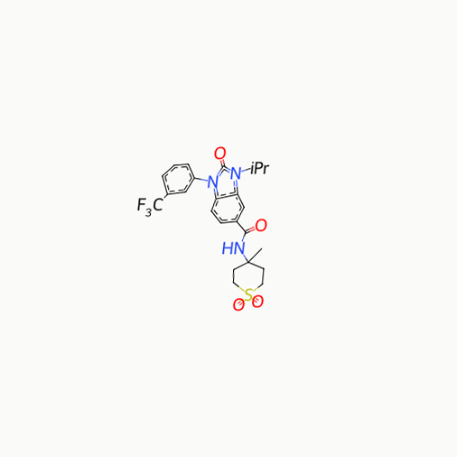 CC(C)n1c(=O)n(-c2cccc(C(F)(F)F)c2)c2ccc(C(=O)NC3(C)CCS(=O)(=O)CC3)cc21